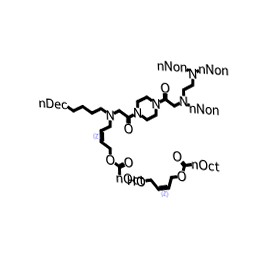 CCCCCCCCC(=O)OC/C=C\CO.CCCCCCCCCCCCCCN(C/C=C\COC(=O)CCCCCCCC)CC(=O)N1CCN(C(=O)CN(CCCCCCCCC)CCN(CCCCCCCCC)CCCCCCCCC)CC1